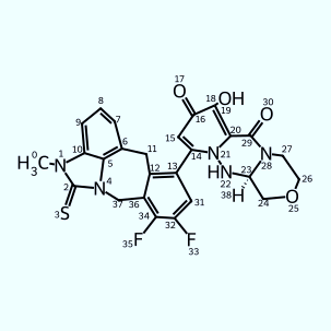 Cn1c(=S)n2c3c(cccc31)Cc1c(-c3cc(=O)c(O)c4n3N[C@@H]3COCCN3C4=O)cc(F)c(F)c1C2